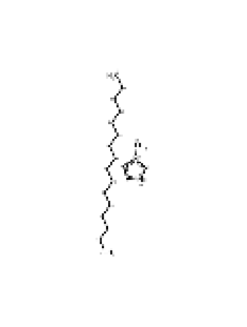 CCCCCCCCCCCCCCCC.C[n+]1cc[nH]c1